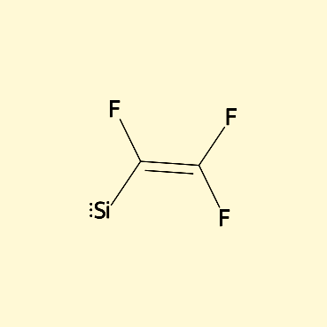 FC(F)=C(F)[Si]